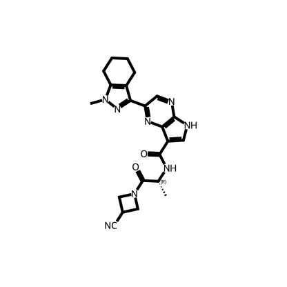 C[C@@H](NC(=O)c1c[nH]c2ncc(-c3nn(C)c4c3CCCC4)nc12)C(=O)N1CC(C#N)C1